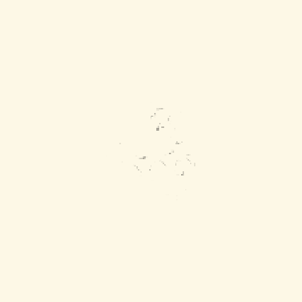 Cc1cc(C)c(CNC(=O)c2cc(-c3ccc(CN4CCOCC4)cc3C)cc(NC3CCCC3)c2C=N)c(=O)[nH]1